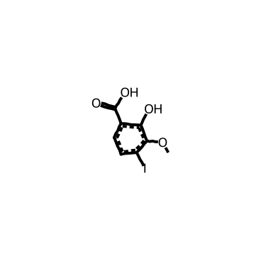 COc1c(I)ccc(C(=O)O)c1O